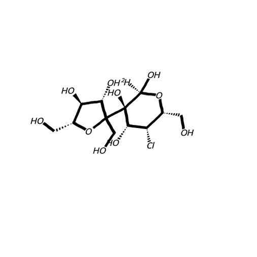 [2H][C@]1(O)O[C@H](CO)[C@H](Cl)[C@H](O)[C@]1(O)C1(CO)O[C@H](CO)[C@@H](O)[C@@H]1O